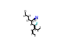 C/C=C\C(CC)=C(\F)CC(C#N)CCCC